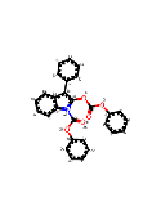 O=C(Oc1ccccc1)Oc1c(-c2ccccc2)c2ccccc2n1C(=O)Oc1ccccc1